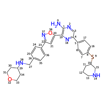 Nc1ncc(-c2ccc(SC3CCCNC3)cc2)nc1-c1cc(-c2ccc(CNC3CCOCC3)cc2)no1